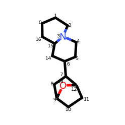 C1CCN2CCC(C3CC4CCC3O4)CC2C1